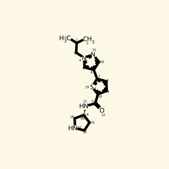 CC(C)Cn1cc(-c2ccc(C(=O)N[C@@H]3CCNC3)s2)cn1